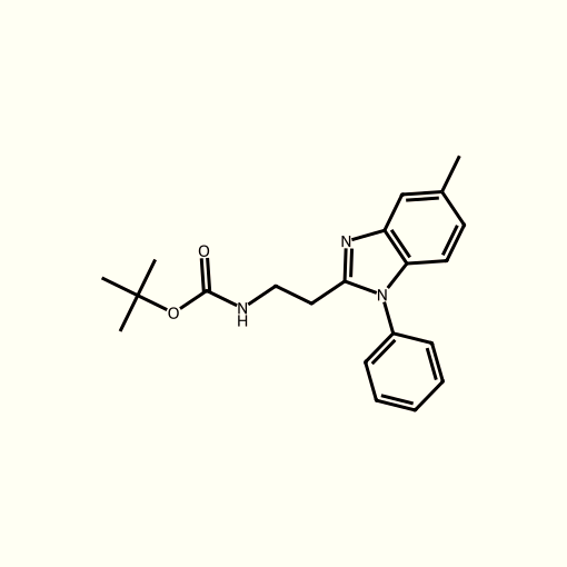 Cc1ccc2c(c1)nc(CCNC(=O)OC(C)(C)C)n2-c1ccccc1